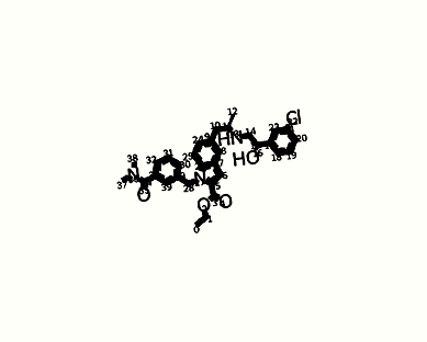 CCOC(=O)c1cc2cc(C[C@@H](C)NC[C@H](O)c3cccc(Cl)c3)ccc2n1Cc1cccc(C(=O)N(C)C)c1